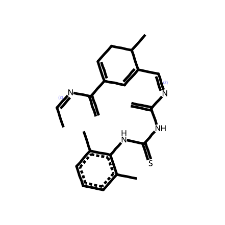 C=C(/N=C\C1=CC(C(=C)/N=C\C)=CCC1C)NC(=S)Nc1c(C)cccc1C